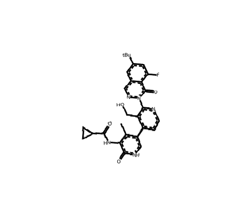 Cc1c(-c2ccnc(-n3ncc4cc(C(C)(C)C)cc(F)c4c3=O)c2CO)c[nH]c(=O)c1NC(=O)C1CC1